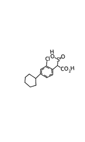 O=C(O)C(c1ccc(C2CCCCC2)cc1Cl)S(=O)O